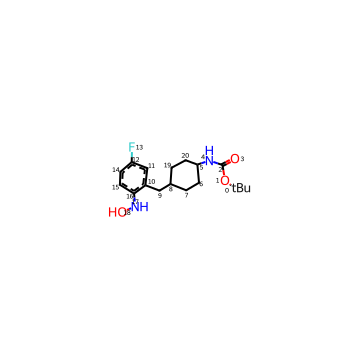 CC(C)(C)OC(=O)NC1CCC(Cc2cc(F)ccc2NO)CC1